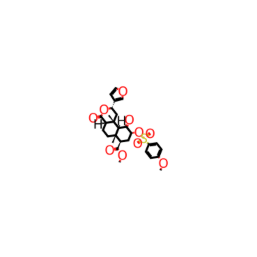 COC(=O)[C@@H]1C[C@H](OS(=O)(=O)c2ccc(OC)cc2)C(=O)[C@@H]2[C@@]3(C)C[C@@H](c4ccoc4)OC(=O)[C@H]3CC[C@]21C